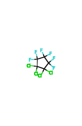 FC1(F)C(F)(F)C(Cl)(Cl)C(Cl)(Cl)C1(F)F